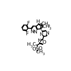 C[C@@H](c1coc(-c2cncc([C@@]34CC[C@@H](c5cc(-c6c(F)cccc6F)nnc53)C4(C)C)n2)n1)S(C)(=O)=O